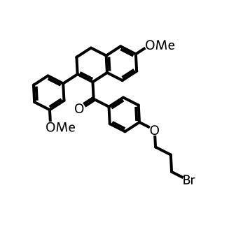 COc1cccc(C2=C(C(=O)c3ccc(OCCCBr)cc3)c3ccc(OC)cc3CC2)c1